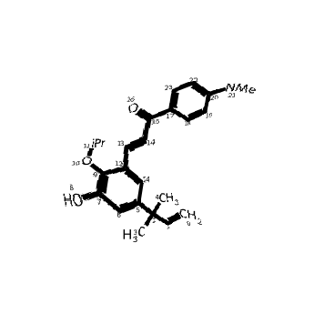 C=CC(C)(C)c1cc(O)c(OC(C)C)c(C=CC(=O)c2ccc(NC)cc2)c1